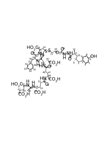 C[C@@H](Cc1ccc(O)cc1)C[C@H](C)C(=O)NNC(=O)OCCSSC[C@@H](NC(=O)[C@H](Cc1ccccc1)NC(=O)[C@H](CC(=O)O)NC(=O)CC[C@H](NC(=O)CC[C@@H](NC(=S)N[C@H](CCC(=O)O)C(=O)O)C(=O)O)C(=O)O)C(=O)O